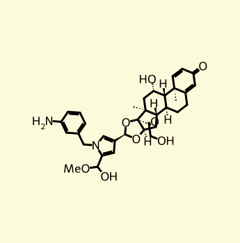 COC(O)c1cc([C@@H]2O[C@@H]3C[C@H]4[C@@H]5CCC6=CC(=O)C=C[C@]6(C)[C@H]5[C@@H](O)C[C@]4(C)[C@]3(C(=O)CO)O2)cn1Cc1cccc(N)c1